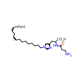 CCCCC/C=C\C/C=C\CCCCCCCCn1cnc(CC(NC(=O)CCN)C(=O)O)c1